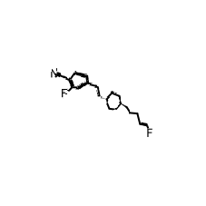 N#Cc1ccc(CC[C@H]2CC[C@H](CCC/C=C/F)CC2)cc1F